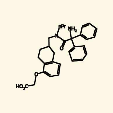 CCCN(CC1CCc2c(cccc2OCC(=O)O)C1)C(=O)C(N)(c1ccccc1)c1ccccc1